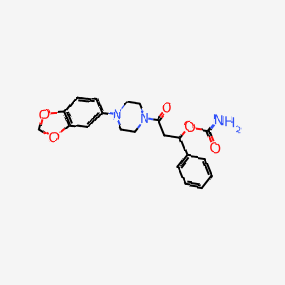 NC(=O)OC(CC(=O)N1CCN(c2ccc3c(c2)OCO3)CC1)c1ccccc1